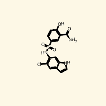 NC(=O)c1cc(S(=O)(=O)Nc2cc3[nH]ccc3cc2Cl)ccc1O